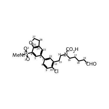 CNS(=O)(=O)c1cc(-c2ccc(Cl)c(CCN(CCCCC=O)C(=O)O)c2)cc2c1OCC2